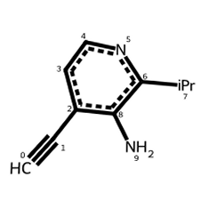 C#Cc1ccnc(C(C)C)c1N